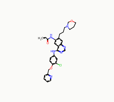 C=CC(=O)Nc1cc2c(Nc3ccc(OCc4ccccn4)c(Cl)c3)ncnc2cc1CCCN1CCCOC1